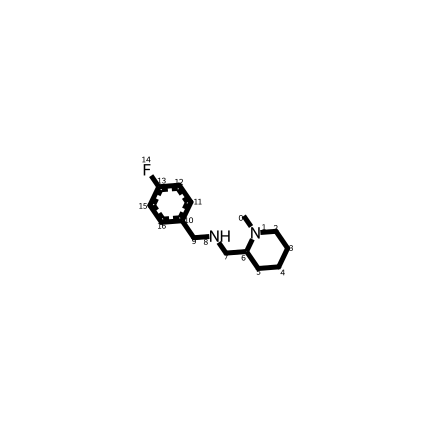 CN1CCCCC1CNCc1ccc(F)cc1